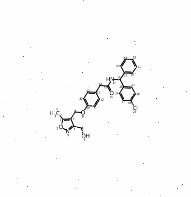 Cc1onc(CO)c1COc1ccc(CC(=O)NC(c2ccccc2)c2ccc(Cl)cc2)cc1